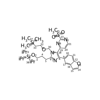 CC(C)[Si](OCCCc1nc(-c2ccc3occc3c2)c(-c2ccnc(S(C)(=O)=O)n2)n1COCC[Si](C)(C)C)(C(C)C)C(C)C